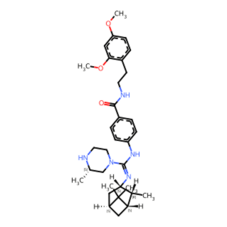 COc1ccc(CCNC(=O)c2ccc(NC(=N[C@H]3C[C@@H]4C[C@@H]([C@H]3C)C4(C)C)N3CCN[C@@H](C)C3)cc2)c(OC)c1